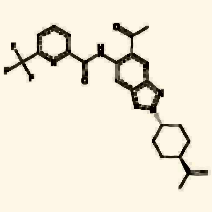 C=C(C)[C@H]1CC[C@H](n2cc3cc(NC(=O)c4cccc(C(F)(F)F)n4)c(C(C)=O)cc3n2)CC1